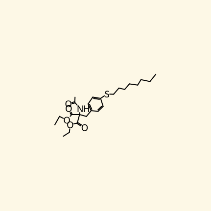 CCCCCCCCSc1ccc(CC(NC(C)=O)(C(=O)OCC)C(=O)OCC)cc1